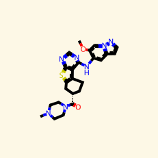 COc1cn2nccc2cc1Nc1ncnc2sc3c(c12)CC[C@H](C(=O)N1CCN(C)CC1)C3